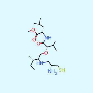 CC[C@H](C)[C@@H](CO[C@H](C(=O)N[C@@H](CC(C)C)C(=O)OC)C(C)C)NC[C@@H](N)CS